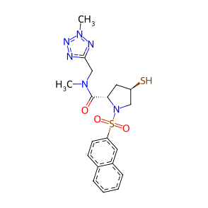 CN(Cc1nnn(C)n1)C(=O)[C@@H]1C[C@@H](S)CN1S(=O)(=O)c1ccc2ccccc2c1